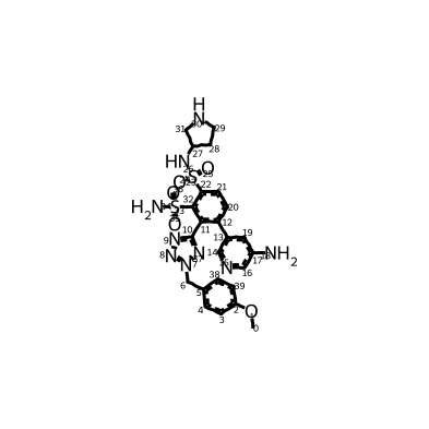 COc1ccc(Cn2nnc(-c3c(-c4cncc(N)c4)ccc(S(=O)(=O)NC4CCNC4)c3S(N)(=O)=O)n2)cc1